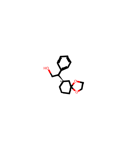 OCC(c1ccccc1)[C@@H]1CCCC2(C1)OCCO2